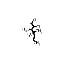 CCCC(C)(C)C(C)C(Cl)[CH]Cl